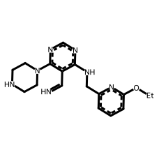 CCOc1cccc(CNc2ncnc(N3CCNCC3)c2C=N)n1